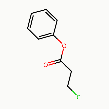 O=C(CCCl)Oc1ccccc1